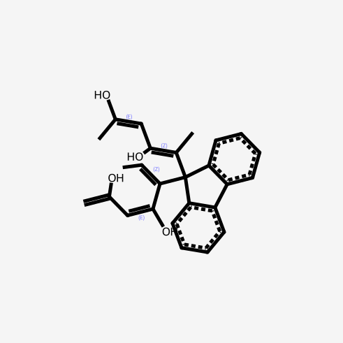 C=C(O)/C=C(O)\C(=C/C)C1(/C(C)=C(O)/C=C(\C)O)c2ccccc2-c2ccccc21